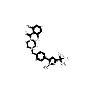 Cn1nc(C(C)(C)C)cc1-c1c[c]c(CN2CCN(C(=O)c3c(F)cccc3F)CC2)cc1